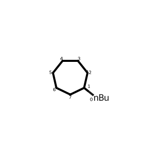 [CH2]CCCC1[CH]CCCCC1